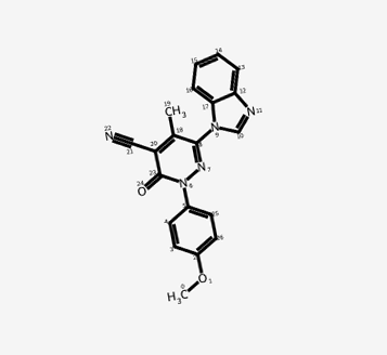 COc1ccc(-n2nc(-n3cnc4ccccc43)c(C)c(C#N)c2=O)cc1